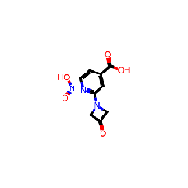 O=C1CN(c2cc(C(=O)O)ccn2)C1.O=NO